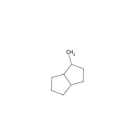 CC1CCC2CCC[C]12